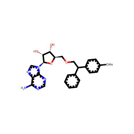 COc1ccc(C(COC[C@H]2O[C@@H](n3cnc4c(N)ncnc43)[C@H](O)[C@@H]2O)c2ccccc2)cc1